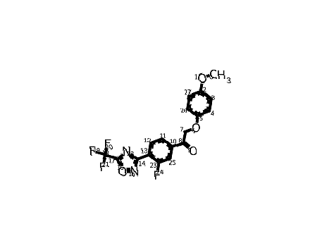 COc1ccc(OCC(=O)c2ccc(-c3noc(C(F)(F)F)n3)c(F)c2)cc1